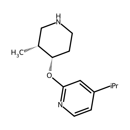 CC(C)c1ccnc(O[C@H]2CCNC[C@H]2C)c1